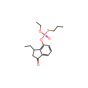 CCCSP(=O)(OCC)Oc1cccc2c1C(CC)CC2=O